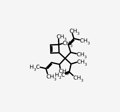 C=C(C)C(C)C(C(C)C=C(C)C)(C(C)C=C(C)C)C1C=CC1(C)C